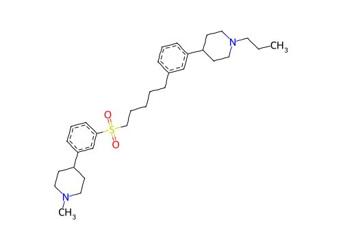 CCCN1CCC(c2cccc(CCCCCS(=O)(=O)c3cccc(C4CCN(C)CC4)c3)c2)CC1